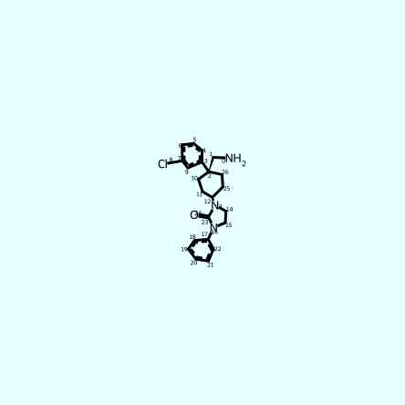 NC[C@]1(c2cccc(Cl)c2)CC[C@H](N2CCN(c3ccccc3)C2=O)CC1